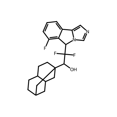 OC(C12CCC3CCC(CC3C1)C2)C(F)(F)C1c2c(F)cccc2-c2cncn21